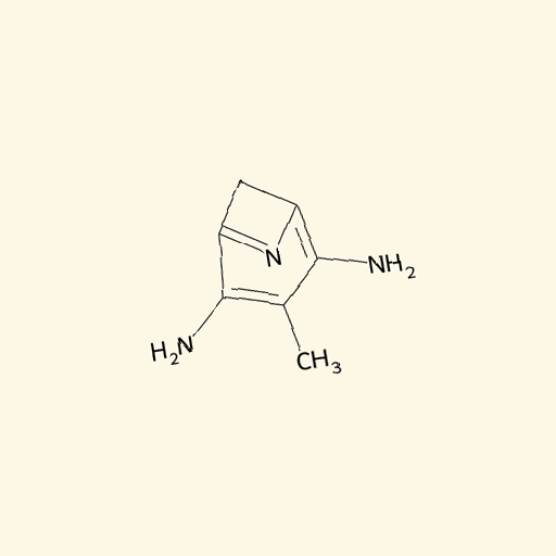 Cc1c(N)c2nc(c1N)C2